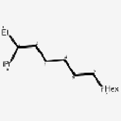 [CH2]CC(CCCCCCCCCCC)C(C)C